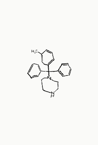 Cc1cccc(C(c2ccccc2)(c2ccccc2)N2CCNCC2)c1